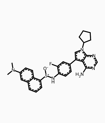 CN(C)c1ccc2c([S+]([O-])Nc3ccc(-c4cn(C5CCCC5)c5ncnc(N)c45)cc3F)cccc2c1